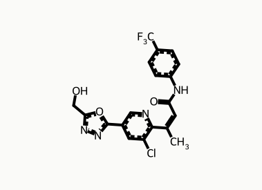 CC(=CC(=O)Nc1ccc(C(F)(F)F)cc1)c1ncc(-c2nnc(CO)o2)cc1Cl